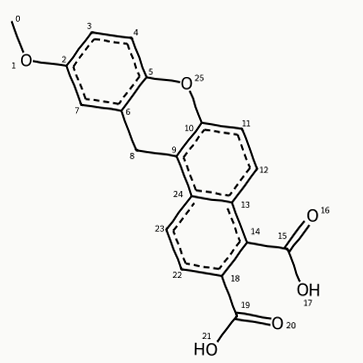 COc1ccc2c(c1)Cc1c(ccc3c(C(=O)O)c(C(=O)O)ccc13)O2